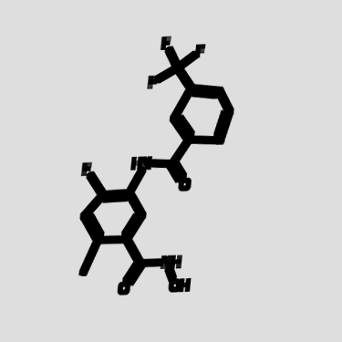 Cc1cc(F)c(NC(=O)c2cccc(C(F)(F)F)c2)cc1C(=O)NO